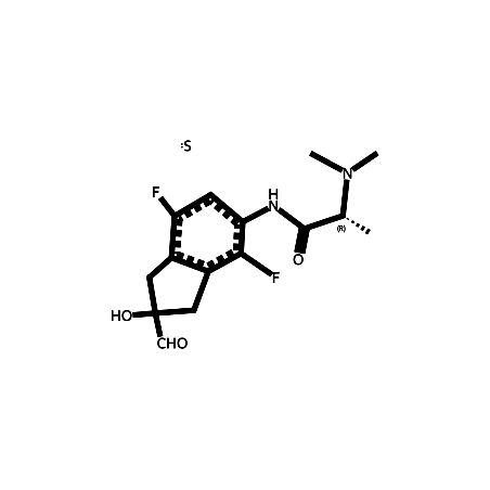 C[C@H](C(=O)Nc1cc(F)c2c(c1F)CC(O)(C=O)C2)N(C)C.[S]